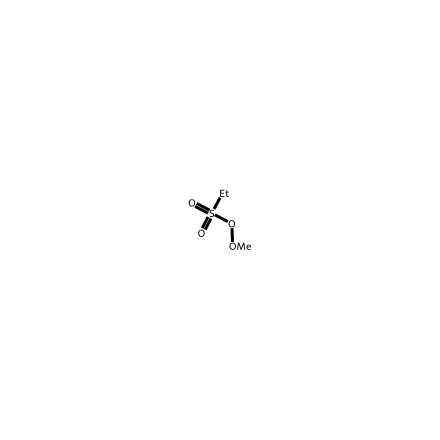 CCS(=O)(=O)OOC